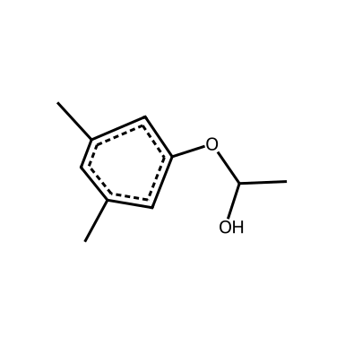 Cc1cc(C)cc(OC(C)O)c1